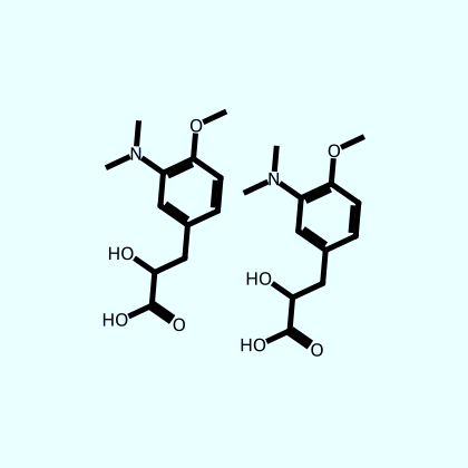 COc1ccc(CC(O)C(=O)O)cc1N(C)C.COc1ccc(CC(O)C(=O)O)cc1N(C)C